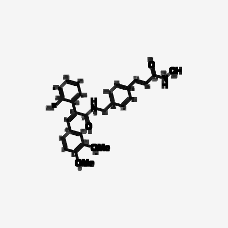 COc1ccc(C=C(C(=O)NCc2ccc(/C=C/C(=O)NO)cc2)c2ccccc2F)cc1OC